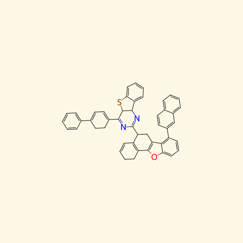 C1=CC2=C(CC1)c1oc3cccc(-c4ccc5ccccc5c4)c3c1CC2C1=NC2c3ccccc3SC2C(C2=CC=C(c3ccccc3)CC2)=N1